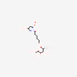 CCOC[C@@H]1C[C@@H](O)CN1C(=O)CCCCCOC1OC(CO)C(O)C(O)C1NC(C)=O